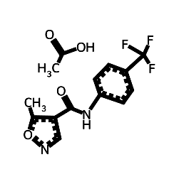 CC(=O)O.Cc1oncc1C(=O)Nc1ccc(C(F)(F)F)cc1